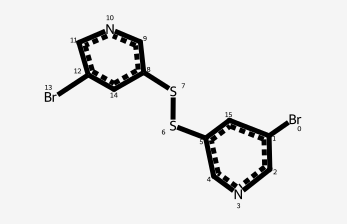 Brc1cncc(SSc2cncc(Br)c2)c1